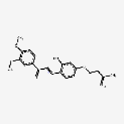 C=C(C)CCOc1ccc(/C=C/C(=O)c2ccc(OC)c(OC)c2)c(O)c1